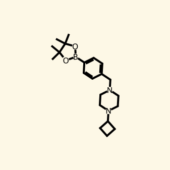 CC1(C)OB(c2ccc(CN3CCN(C4CCC4)CC3)cc2)OC1(C)C